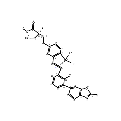 COC(=O)[C@](C)(CO)NCc1ccc(C(F)(F)F)c(/C=C/c2cccc(-c3ccc4nc(C)oc4c3)c2C)c1